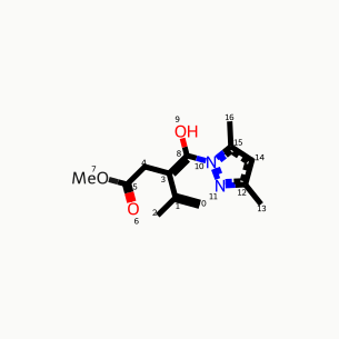 C=C(C)/C(CC(=O)OC)=C(/O)n1nc(C)cc1C